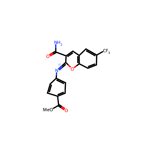 COC(=O)c1ccc(/N=c2\oc3ccc(C(F)(F)F)cc3cc2C(N)=O)cc1